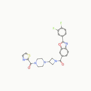 O=C(c1ccc2nc(-c3ccc(F)c(F)c3)oc2c1)N1CC(N2CCN(C(=O)c3nccs3)CC2)C1